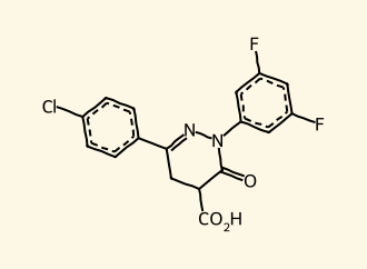 O=C(O)C1CC(c2ccc(Cl)cc2)=NN(c2cc(F)cc(F)c2)C1=O